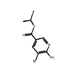 CC(C)OC(=O)c1cnc(N)c(Br)c1